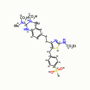 CCOC(=O)Nc1nc(CCc2ccc(NC(N(C(=O)O)C(C)(C)C)N(C(=O)O)C(C)(C)C)cc2)c(Cc2ccc(S(C)(=O)=O)cc2)s1